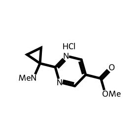 CNC1(c2ncc(C(=O)OC)cn2)CC1.Cl